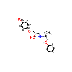 CC(COc1ccccc1)NCC(O)COc1ccc(O)cc1